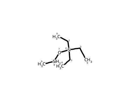 CC[Si](CC)(CC)O[SiH2]C